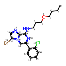 CCCCOCCCNc1nc(-c2ccccc2Cl)cn2c(Br)cnc12